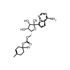 CC1=CCC(OC(=O)OC[C@H]2O[C@@](C#N)(c3ccc4c(N)ncnn34)[C@H](O)[C@@H]2O)(C(C)C)CC1